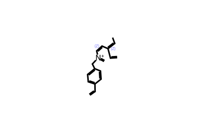 C=CC(/C=C\[N+](=C)Cc1ccc(C=C)cc1)=C/C